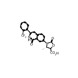 C[C@H]1C(C(=O)O)OC(=O)N1c1ccc2cc(-c3ccccc3C(F)(F)F)[nH]c(=O)c2c1